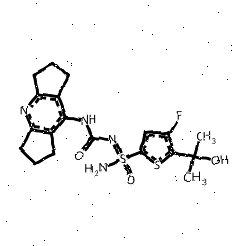 CC(C)(O)c1sc(S(N)(=O)=NC(=O)Nc2c3c(nc4c2CCC4)CCC3)cc1F